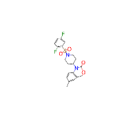 Cc1ccc2c(c1)COC(=O)N2C1CCN(S(=O)(=O)c2cc(F)ccc2F)CC1